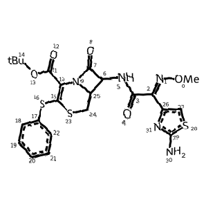 CON=C(C(=O)NC1C(=O)N2C(C(=O)OC(C)(C)C)=C(Sc3ccccc3)SCC12)c1csc(N)n1